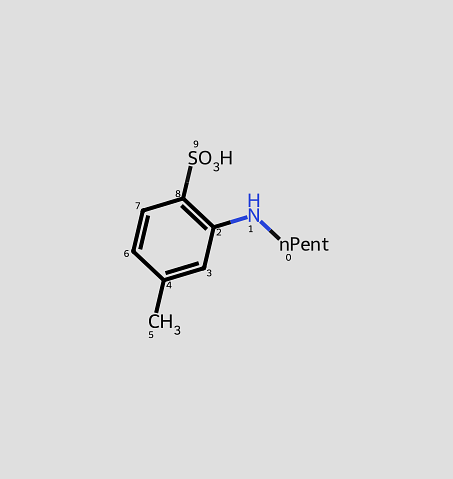 CCCCCNc1cc(C)ccc1S(=O)(=O)O